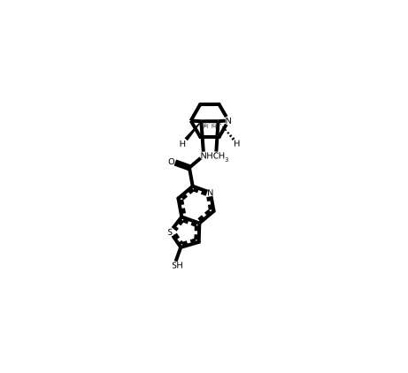 C[C@H]1[C@H](NC(=O)c2cc3sc(S)cc3cn2)C2CCN1CC2